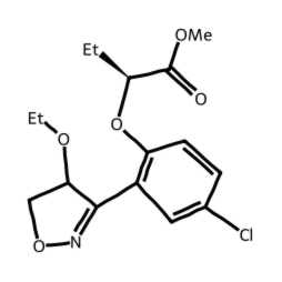 CCOC1CON=C1c1cc(Cl)ccc1O[C@@H](CC)C(=O)OC